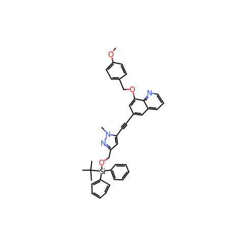 COc1ccc(COc2cc(C#Cc3cc(CO[Si](c4ccccc4)(c4ccccc4)C(C)(C)C)nn3C)cc3cccnc23)cc1